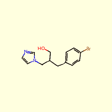 OCC(Cc1ccc(Br)cc1)Cn1ccnc1